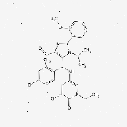 CCn1cc(NC(c2ccc(Cl)cc2C)c2c(C=O)nc(-c3ccccc3OC)n2C(C)C)cc(Cl)c1=O